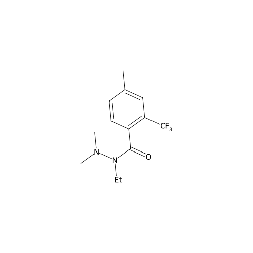 CCN(C(=O)c1ccc(C)cc1C(F)(F)F)N(C)C